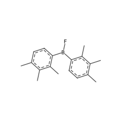 Cc1ccc(B(F)c2ccc(C)c(C)c2C)c(C)c1C